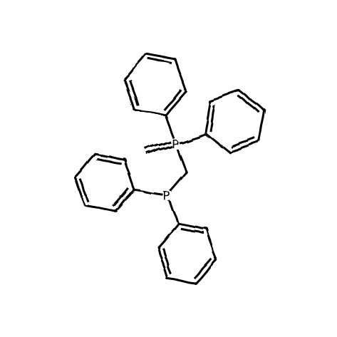 C=P(CP(c1ccccc1)c1ccccc1)(c1ccccc1)c1ccccc1